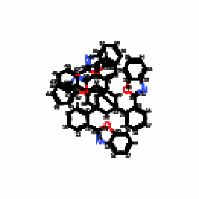 c1ccc(C23CC4(c5ccccc5-c5nc6ccccc6o5)CC(c5ccccc5-c5nc6ccccc6o5)(C2)CC(c2ccccc2-c2nc5ccccc5o2)(C3)C4)c(-c2nc3ccccc3o2)c1